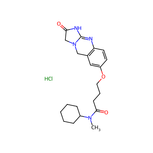 CN(C(=O)CCCOc1ccc2c(c1)CN1CC(=O)NC1=N2)C1CCCCC1.Cl